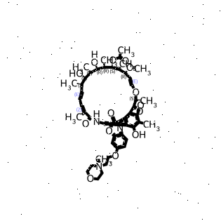 CO[C@H]1/C=C/O[C@@]2(C)Oc3c(C)c(O)c4c(=O)c(c5oc6cc(OCC[N+]7(C)CCOCC7)ccc6nc-5c4c3C2=O)NC(=O)/C(C)=C\C=C\[C@H](C)[C@H](O)[C@@H](C)[C@@H](O)[C@@H](C)[C@H](OC(C)=O)[C@@H]1C